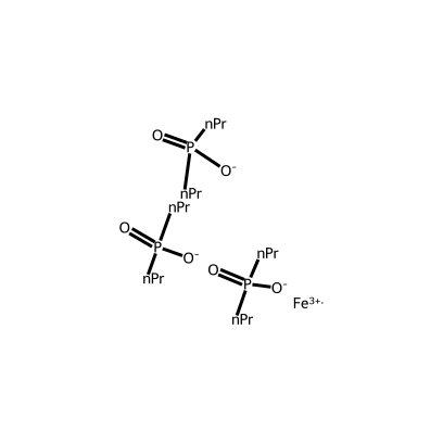 CCCP(=O)([O-])CCC.CCCP(=O)([O-])CCC.CCCP(=O)([O-])CCC.[Fe+3]